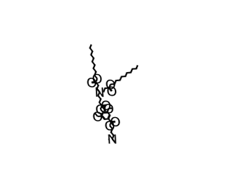 CCCCCCCCCCOC(=O)CCN(CCCC(=O)Oc1c(OC)cc(C(=O)OCCCN(C)C)cc1OC)CCC(=O)OCCCCCCCCCC